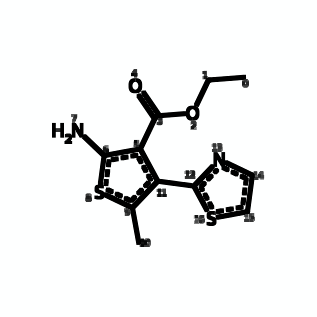 CCOC(=O)c1c(N)sc(C)c1-c1nccs1